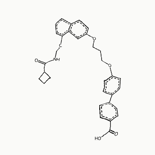 O=C(O)c1ccc(-c2ccc(OCCCOc3ccc4cccc(CCNC(=O)C5CCC5)c4c3)cc2)cc1